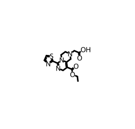 CCOC(=O)C1=C2CN(CC(=O)O)CCN2C(c2nccs2)=NC1